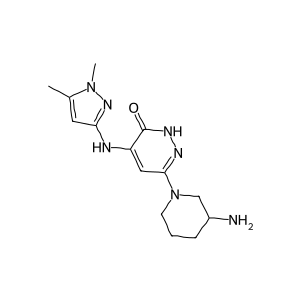 Cc1cc(Nc2cc(N3CCCC(N)C3)n[nH]c2=O)nn1C